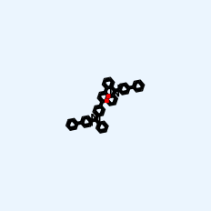 c1ccc(-c2ccc(N(c3ccccc3)c3ccc(-c4ccc(-c5ccccc5N(c5ccccc5)c5ccc(-c6ccccc6)cc5)cc4)cc3)cc2)cc1